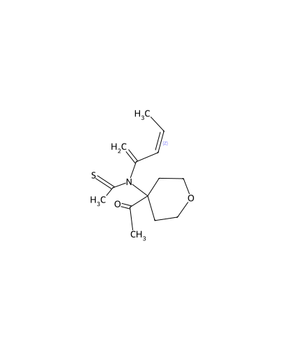 C=C(/C=C\C)N(C(C)=S)C1(C(C)=O)CCOCC1